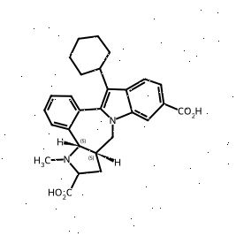 CN1C(C(=O)O)C[C@H]2Cn3c(c(C4CCCCC4)c4ccc(C(=O)O)cc43)-c3ccccc3[C@H]21